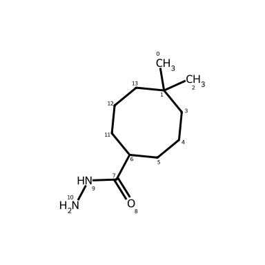 CC1(C)CCCC(C(=O)NN)CCC1